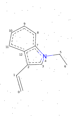 C=Cc1cn(CC)c2ccccc12